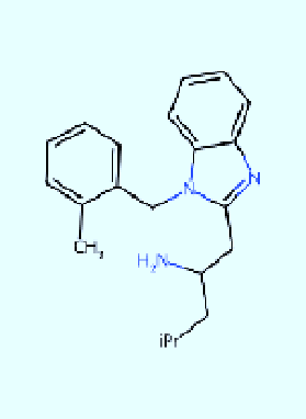 Cc1ccccc1Cn1c(CC(N)CC(C)C)nc2ccccc21